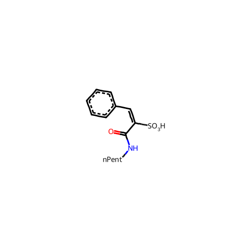 CCCCCNC(=O)C(=Cc1ccccc1)S(=O)(=O)O